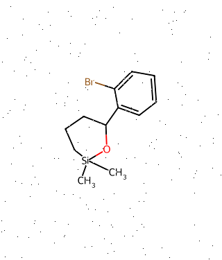 C[Si]1(C)CCCC(c2ccccc2Br)O1